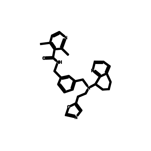 Cc1ccnc(C)c1C(=O)NCc1cccc(CN(CCc2cnco2)C2CCCc3cccnc32)c1